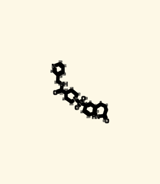 O=C1CCCc2cc(S(=O)(=O)N3CCC(C(=O)NCc4cccnc4)CC3)ccc2N1